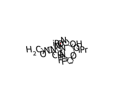 C=CC(=O)N1CCN(c2nc(=O)n3c4nc(c(F)cc24)-c2c(F)cccc2OCC(OC(C)C)C(O)c2ccnc(C(C)C)c2-3)[C@@H](C)C1